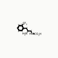 N[C@H](CNC(=O)O)Cc1ccccc1C(F)(F)F